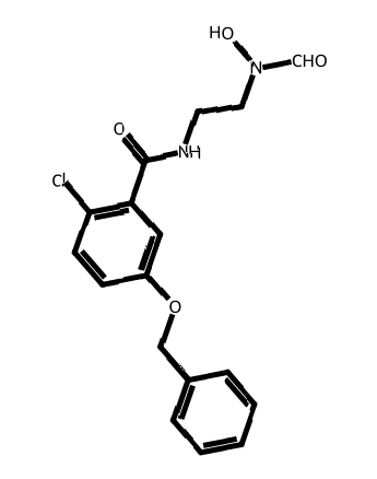 O=CN(O)CCNC(=O)c1cc(OCc2ccccc2)ccc1Cl